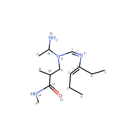 CC/C=C(CC)/N=C\N(CC(C)C(=O)NC)C(C)N